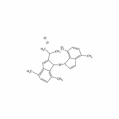 Cc1ccc(C)c2c1C=C[CH]2[Zr+2][CH]1C(C(C)C)=Cc2c(C)ccc(C)c21.[Cl-].[Cl-]